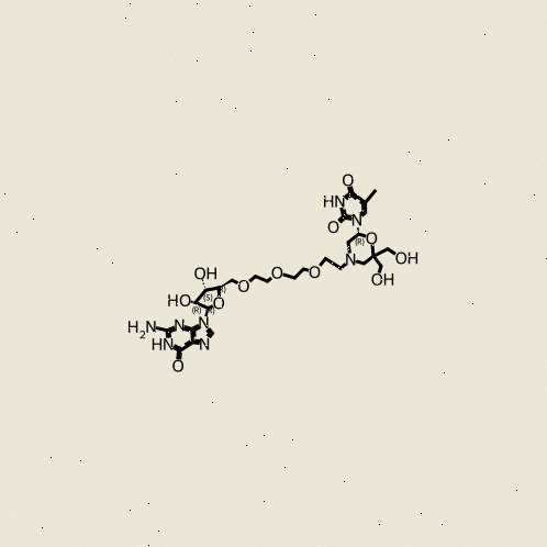 Cc1cn([C@H]2CN(CCOCCOCCOC[C@H]3O[C@@H](n4cnc5c(=O)[nH]c(N)nc54)[C@H](O)[C@@H]3O)CC(CO)(CO)O2)c(=O)[nH]c1=O